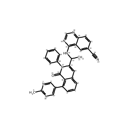 Cc1ncc(-c2cccc3cc(C(C)Nc4ncnc5ccc(C#N)cc45)n(-c4ccccc4)c(=O)c23)cn1